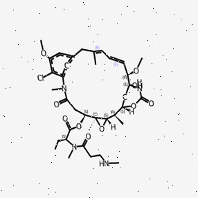 CC[C@@H](C(=O)O[C@H]1CC(=O)N(C)c2cc(cc(OC)c2Cl)C/C(C)=C/C=C/[C@@H](OC)[C@@]2(O)C[C@H](OC(=O)N2)[C@@H](C)[C@@H]2O[C@@]12C)N(C)C(=O)CCNC